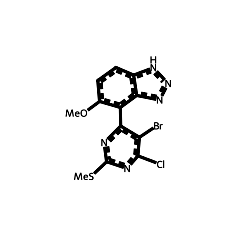 COc1ccc2[nH]nnc2c1-c1nc(SC)nc(Cl)c1Br